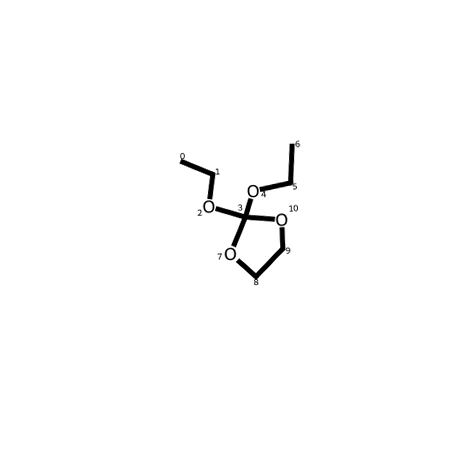 CCOC1(OCC)OCCO1